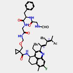 CCC(C)Cc1c(/C(C)=C/C(=C(/C)C(C)=O)C(C)CC)nc2cc(F)c(C)c3c2c1C(NC(=O)C1(COCNC(=O)CNC(=O)C(Cc2ccccc2)NC(=O)CNC=O)CC1)CC3